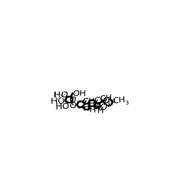 C[C@@H]1CC[C@@]2(OC1)O[C@H]1C[C@H]3[C@@H]4CC=C5C[C@@H](O[C@@H]6OC(CO)[C@@H](O)C(O)C6O)CC[C@]5(C)[C@H]4CC[C@]3(C)[C@H]1[C@@H]2C